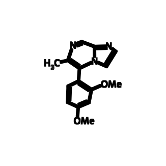 COc1ccc(-c2c(C)ncc3nccn23)c(OC)c1